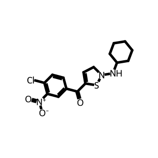 O=C(C1=CCN(NC2CCCCC2)S1)c1ccc(Cl)c([N+](=O)[O-])c1